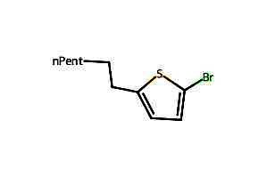 CCCCCCCc1ccc(Br)s1